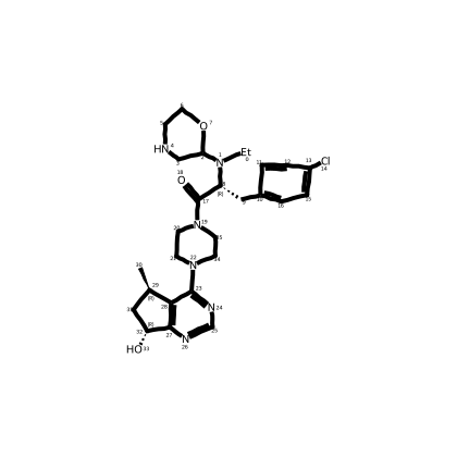 CCN(C1CNCCO1)[C@H](Cc1ccc(Cl)cc1)C(=O)N1CCN(c2ncnc3c2[C@H](C)C[C@H]3O)CC1